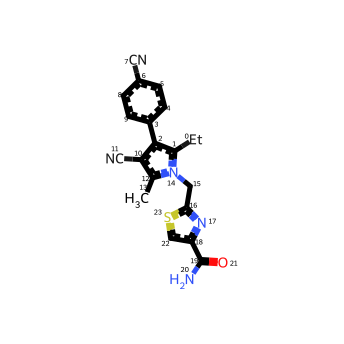 CCc1c(-c2ccc(C#N)cc2)c(C#N)c(C)n1Cc1nc(C(N)=O)cs1